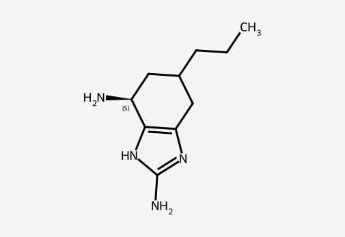 CCCC1Cc2nc(N)[nH]c2[C@@H](N)C1